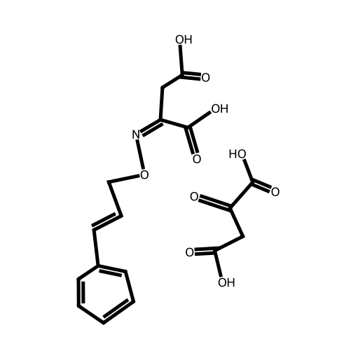 O=C(O)CC(=NOCC=Cc1ccccc1)C(=O)O.O=C(O)CC(=O)C(=O)O